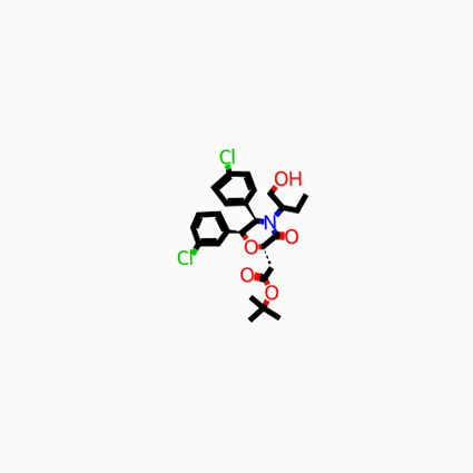 CCC(CO)N1C(=O)[C@H](CC(=O)OC(C)(C)C)O[C@@H](c2cccc(Cl)c2)[C@H]1c1ccc(Cl)cc1